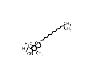 Cc1c(C)c2c(c(C)c1N=O)CC[C@@H](CCCCCCCCCCCC(C)C)O2